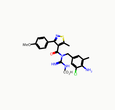 COc1ccc(-c2nsc(C)c2C(=O)N(Cc2cc(C)c(N)c(Cl)c2)C(=N)NC(=O)O)cc1